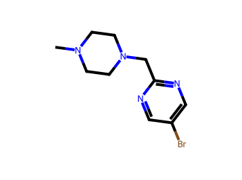 CN1CCN(Cc2ncc(Br)cn2)CC1